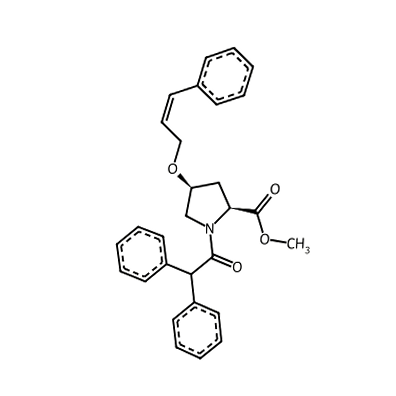 COC(=O)[C@@H]1C[C@H](OC/C=C\c2ccccc2)CN1C(=O)C(c1ccccc1)c1ccccc1